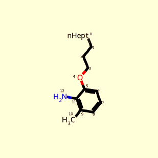 CCCCCCCCCCOc1cccc(C)c1N